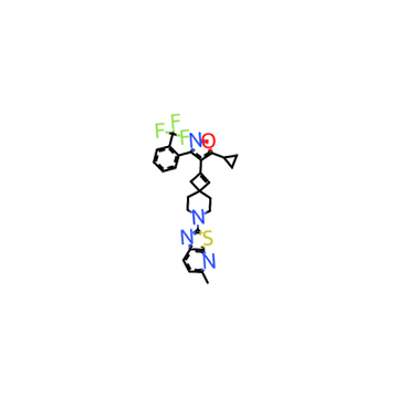 Cc1ccc2nc(N3CCC4(C=C(c5c(-c6ccccc6C(F)(F)F)noc5C5CC5)C4)CC3)sc2n1